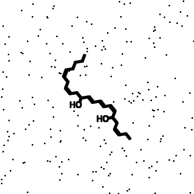 CC/C=C\CC(O)\C=C/C=C/C=C/C(O)C/C=C\C/C=C\CCCC